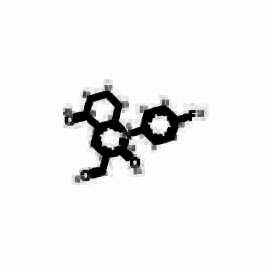 O=Cc1cc2c(n(-c3ccc(F)cc3)c1=O)CCCC2=O